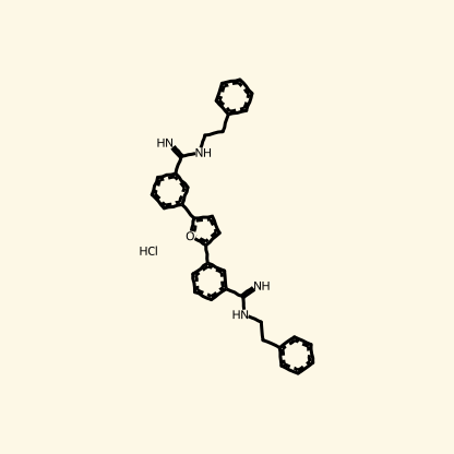 Cl.N=C(NCCc1ccccc1)c1cccc(-c2ccc(-c3cccc(C(=N)NCCc4ccccc4)c3)o2)c1